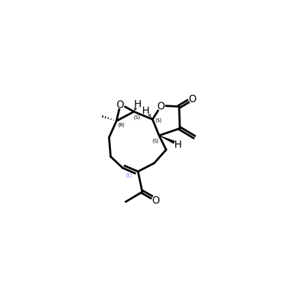 C=C1C(=O)O[C@H]2[C@H]1CC/C(C(C)=O)=C\CC[C@@]1(C)O[C@@H]21